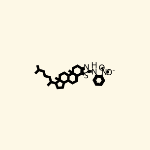 CC(C)CCCC(C)C1CCC2C3CC=C4c5sc(Nc6ccccc6[N+](=O)[O-])nc5CCC4(C)C3CCC12C